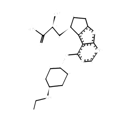 CCN[C@H]1CC[C@H](Oc2ncnc3sc4c(c23)[C@@H](C[C@H](O)C(N)=O)CC4)CC1